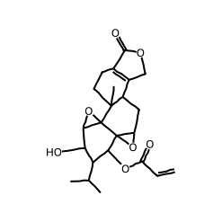 C=CC(=O)OC1C(C(C)C)C(O)C2OC23C2(C)CCC4=C(COC4=O)C2CC2OC213